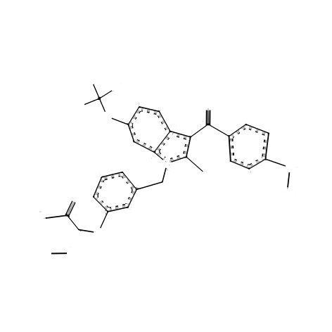 CC[C@@H](Oc1cccc(Cn2c(C)c(C(=O)c3ccc(OC)cc3)c3ccc(OC(F)(F)F)cc32)c1)C(=O)O